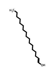 CCCCCCCCCCCCCCCC=CO